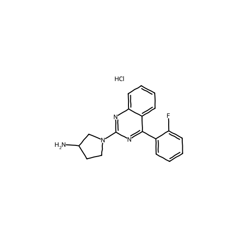 Cl.NC1CCN(c2nc(-c3ccccc3F)c3ccccc3n2)C1